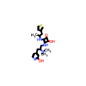 CC(Cc1ccsc1)NC1=C(NCC(Cc2ccnc(O)c2)N(C)C)C(O)C1=O